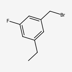 CCc1cc(F)cc(CBr)c1